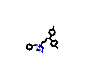 Cc1ccc(C(CC=Cc2cncn2Cc2ccccc2)c2ccc(C)cc2)cc1